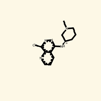 CN1CCC[C@@H](Nc2nnc(Cl)c3ncccc23)C1